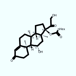 CCCCCCC(=O)O[C@]1(C(=O)CO)CC[C@H]2[C@@H]3CCC4=CC(=O)CC[C@]4(C)[C@H]3[C@@H](O)C[C@@]21C